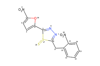 O=[N+]([O-])c1ccc(C2=NN=C(Cc3ccccc3[N+](=O)[O-])S2=S)o1